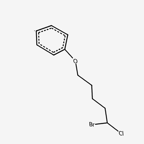 ClC(Br)CCCCOc1cc[c]cc1